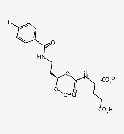 O=CO[C@@H](CCNC(=O)c1ccc(F)cc1)OC(=O)N[C@@H](CCC(=O)O)C(=O)O